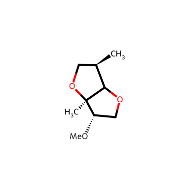 CO[C@H]1COC2[C@H](C)CO[C@@]21C